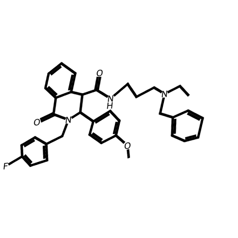 CCN(CCCNC(=O)C1c2ccccc2C(=O)N(Cc2ccc(F)cc2)C1c1ccc(OC)cc1)Cc1ccccc1